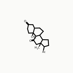 CC(=O)C1CCC2C3CCC4CC(=O)CCC4(C)C3C(=O)CC12C